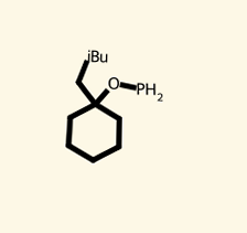 CCC(C)CC1(OP)CCCCC1